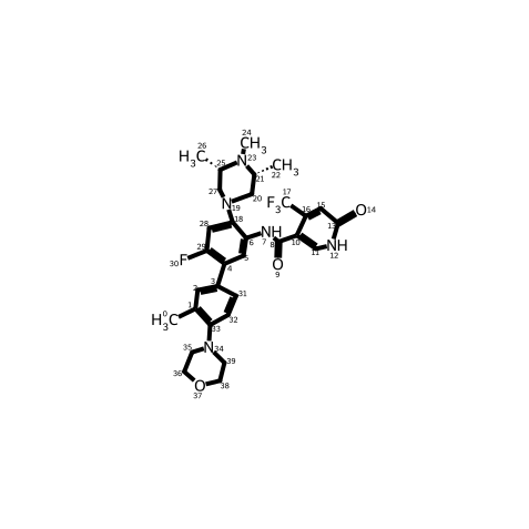 Cc1cc(-c2cc(NC(=O)c3c[nH]c(=O)cc3C(F)(F)F)c(N3C[C@@H](C)N(C)[C@@H](C)C3)cc2F)ccc1N1CCOCC1